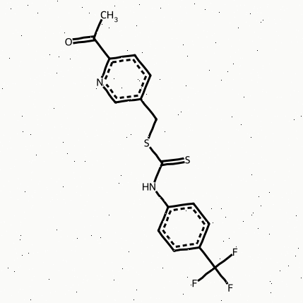 CC(=O)c1ccc(CSC(=S)Nc2ccc(C(F)(F)F)cc2)cn1